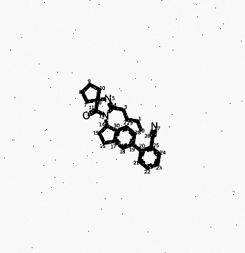 CCCCC1=NC2(CCCC2)C(=O)N1C1CCc2cc(-c3ccccc3C#N)ccc21